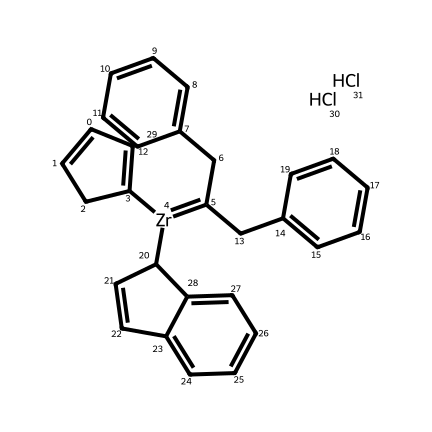 C1=CC[C]([Zr](=[C](Cc2ccccc2)Cc2ccccc2)[CH]2C=Cc3ccccc32)=C1.Cl.Cl